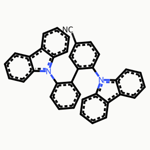 N#Cc1ccc(-n2c3ccccc3c3ccccc32)c(-c2ccccc2-n2c3ccccc3c3ccccc32)c1